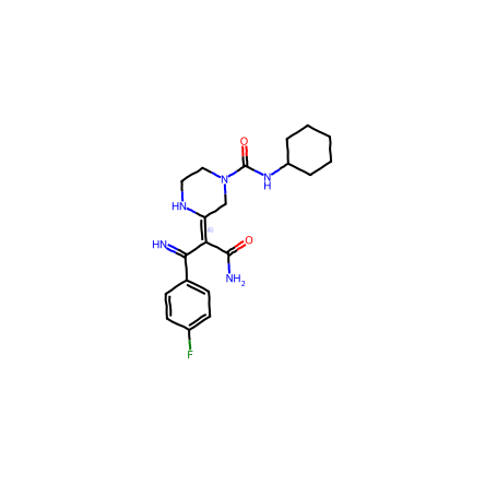 N=C(/C(C(N)=O)=C1/CN(C(=O)NC2CCCCC2)CCN1)c1ccc(F)cc1